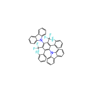 Fc1ccccc1-c1c(-n2c3ccccc3c3ccccc32)c(-c2ccccc2F)c(C(F)(F)F)c(-n2c3ccccc3c3ccccc32)c1C(F)(F)F